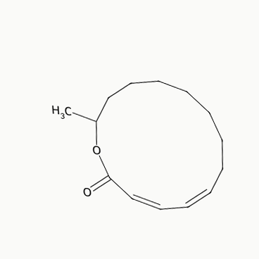 CC1CCCCCCC/C=C\C=C/C(=O)O1